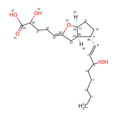 CCCCCC(O)C=C[C@H]1CC[C@@H]2OC(=CCCC(O)C(=O)O)C[C@@H]21